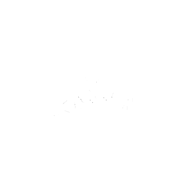 CC(C)C[C@H]1CN(C(=O)OC(C)(C)C)CCN1c1nc2ccc(Cl)cc2s1